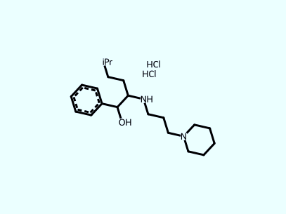 CC(C)CCC(NCCCN1CCCCC1)C(O)c1ccccc1.Cl.Cl